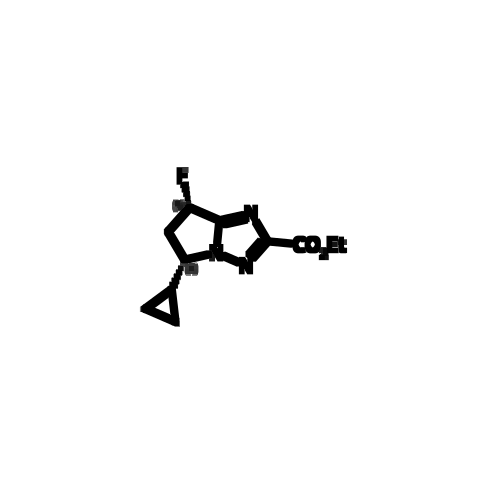 CCOC(=O)c1nc2n(n1)[C@H](C1CC1)C[C@@H]2F